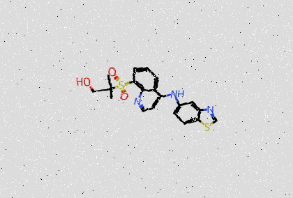 CC(C)(CO)S(=O)(=O)c1cccc2c(Nc3ccc4scnc4c3)ccnc12